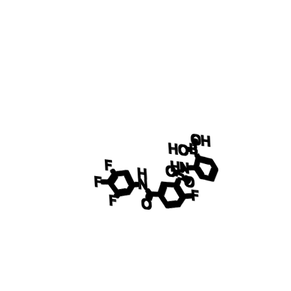 O=C(Nc1cc(F)c(F)c(F)c1)c1ccc(F)c(S(=O)(=O)Nc2ccccc2B(O)O)c1